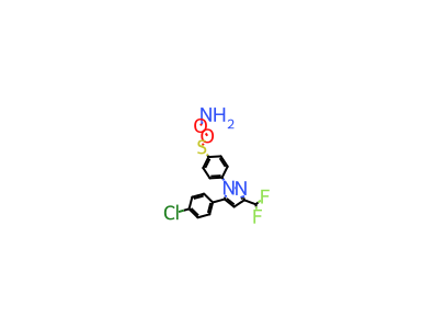 NOOSc1ccc(-n2nc(C(F)F)cc2-c2ccc(Cl)cc2)cc1